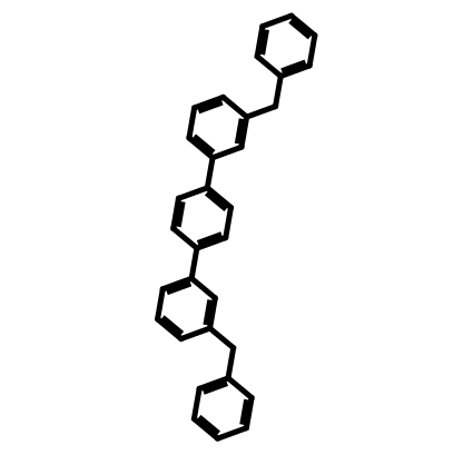 c1ccc(Cc2cccc(-c3ccc(-c4cccc(Cc5ccccc5)c4)cc3)c2)cc1